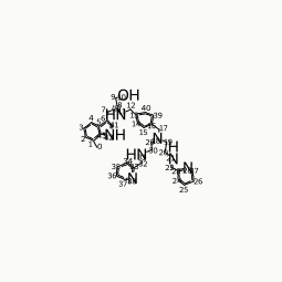 Cc1cccc2c(C[C@@H](CO)NCc3ccc(CN(CCNCc4ccccn4)CCNCc4ccccn4)cc3)c[nH]c12